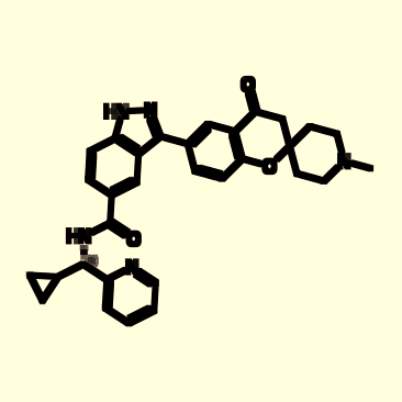 CN1CCC2(CC1)CC(=O)c1cc(-c3n[nH]c4ccc(C(=O)N[C@H](c5ccccn5)C5CC5)cc34)ccc1O2